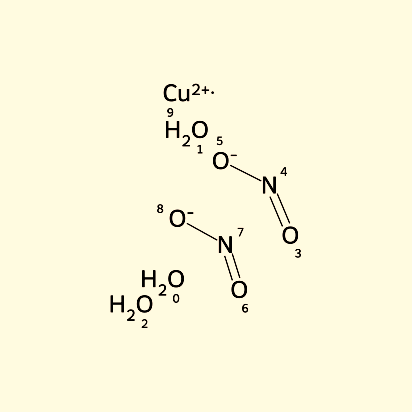 O.O.O.O=N[O-].O=N[O-].[Cu+2]